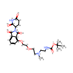 CN(CCNC(=O)OC(C)(C)C)CCOCCOc1cccc2c1C(=O)N(C1CCC(=O)NC1=O)C2=O